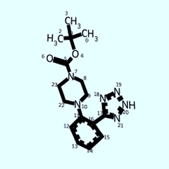 CC(C)(C)OC(=O)N1CCN(c2ccccc2-c2nn[nH]n2)CC1